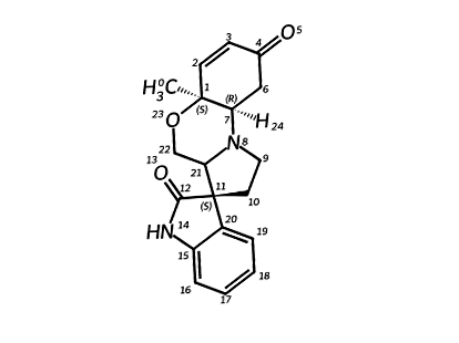 C[C@]12C=CC(=O)C[C@H]1N1CC[C@@]3(C(=O)Nc4ccccc43)C1CO2